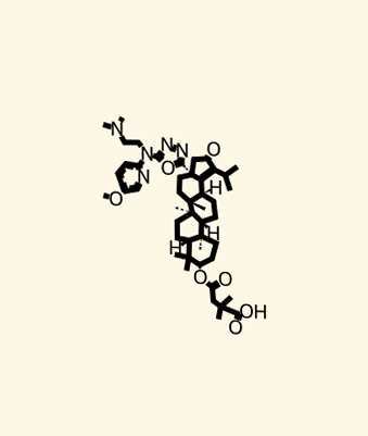 COc1ccc(N(CCN(C)C)c2nnc([C@@]34CC[C@]5(C)[C@H](CC[C@@H]6[C@@]7(C)CC[C@H](OC(=O)CC(C)(C)C(=O)O)C(C)(C)[C@@H]7CC[C@]65C)C3=C(C(C)C)C(=O)C4)o2)nc1